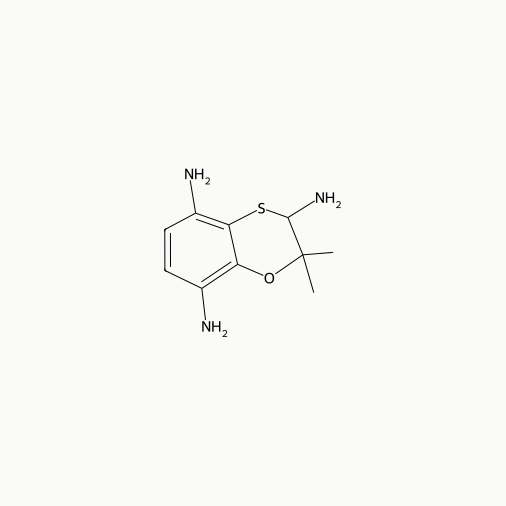 CC1(C)Oc2c(N)ccc(N)c2SC1N